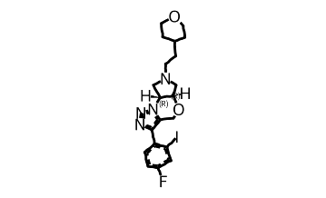 Fc1ccc(-c2nnn3c2CO[C@@H]2CN(CCC4CCOCC4)C[C@H]23)c(I)c1